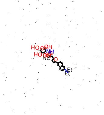 CCN(CC)c1ccc2cc(-c3ccc(/C=C(\C#N)S(=O)(=O)N[C@H]4C(O)O[C@H](CO)[C@@H](O)[C@@H]4O)o3)ccc2c1